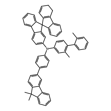 Cc1ccccc1-c1ccc(N(c2ccc(-c3ccc4c(c3)-c3ccccc3C4(C)C)cc2)c2ccc3c(c2)C2(C4=C(CCC=C4)c4ccccc42)c2ccccc2-3)cc1C